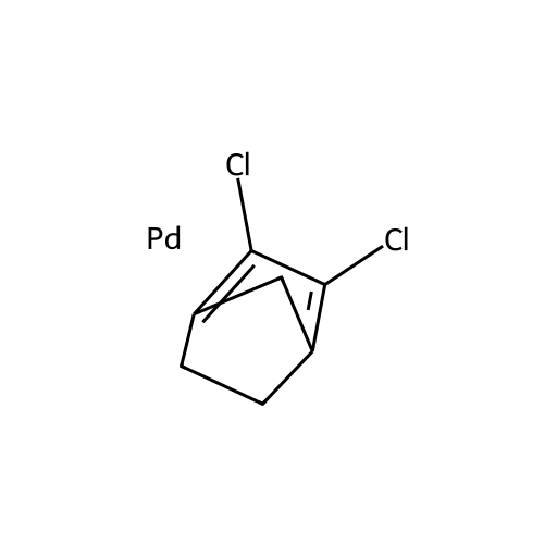 ClC1=C2CCC(=C1Cl)C2.[Pd]